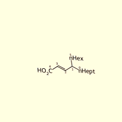 CCCCCCCC(/C=C/C(=O)O)CCCCCC